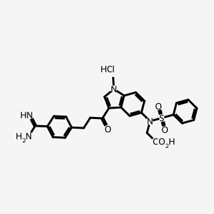 Cl.Cn1cc(C(=O)CCc2ccc(C(=N)N)cc2)c2cc(N(CC(=O)O)S(=O)(=O)c3ccccc3)ccc21